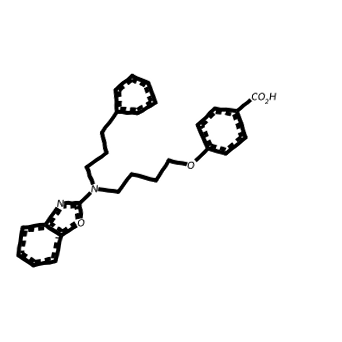 O=C(O)c1ccc(OCCCCN(CCCc2ccccc2)c2nc3ccccc3o2)cc1